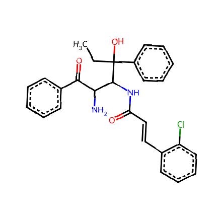 CCC(O)(c1ccccc1)C(NC(=O)C=Cc1ccccc1Cl)C(N)C(=O)c1ccccc1